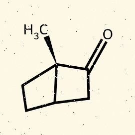 C[C@]12CCC1CC2=O